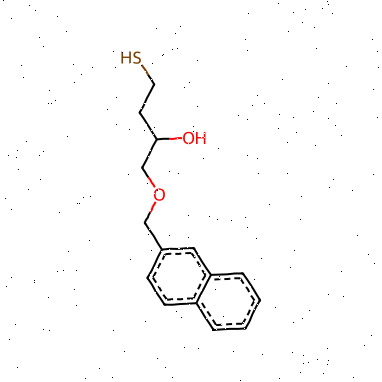 OC(CCS)COCc1ccc2ccccc2c1